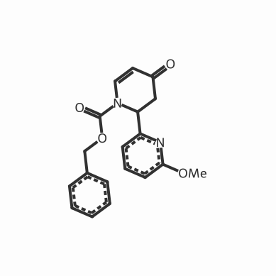 COc1cccc(C2CC(=O)C=CN2C(=O)OCc2ccccc2)n1